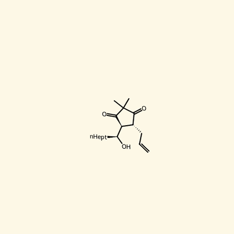 C=CC[C@H]1C(=O)C(C)(C)C(=O)[C@@H]1[C@@H](O)CCCCCCC